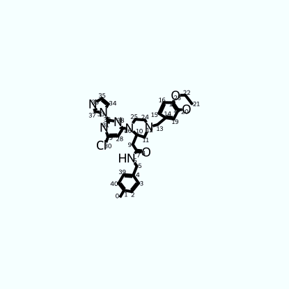 Cc1ccc(CNC(=O)CC2CN(Cc3ccc4c(c3)OCCO4)CCN2c2cc(Cl)nc(-n3ccnc3)n2)cc1